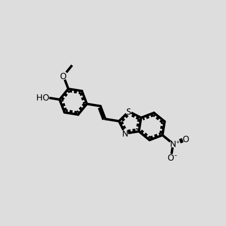 COc1cc(/C=C/c2nc3cc([N+](=O)[O-])ccc3s2)ccc1O